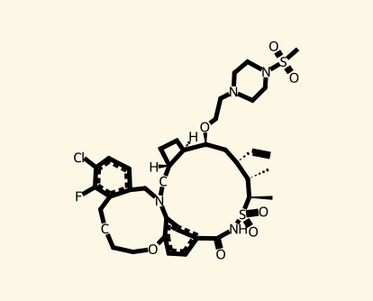 C=C[C@H]1C[C@H](OCCN2CCN(S(C)(=O)=O)CC2)[C@@H]2CC[C@H]2CN2Cc3ccc(Cl)c(F)c3CCCCOc3ccc(cc32)C(=O)NS(=O)(=O)[C@H](C)[C@H]1C